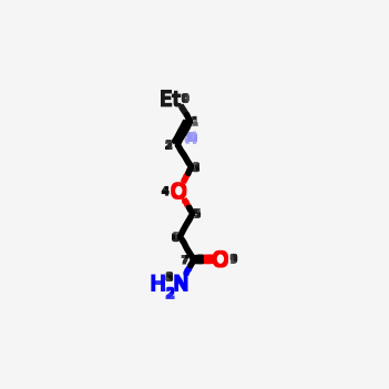 CC/C=C/COCCC(N)=O